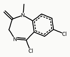 C=C1CN=C(Cl)c2cc(Cl)ccc2N1C